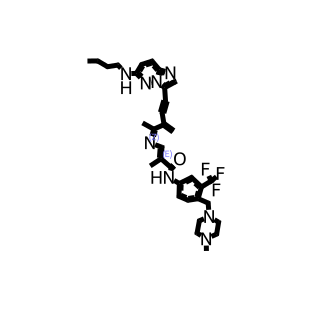 C=C(C#Cc1cnc2ccc(NCCCC)nn12)/C(C)=N\C=C(/C)C(=O)Nc1ccc(CN2CCN(C)CC2)c(C(F)(F)F)c1